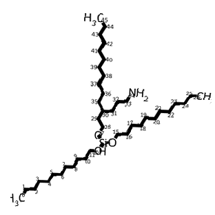 CCCCCCCCCCCCO[SiH](OCCCCCCCCCCCC)OCCC(CCCN)CCCCCCCCCCC